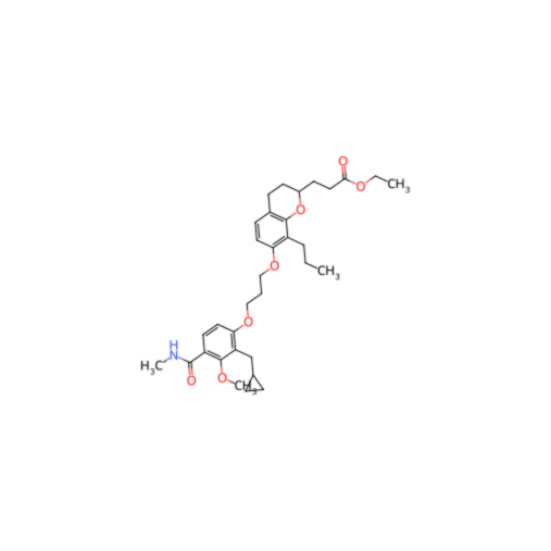 CCCc1c(OCCCOc2ccc(C(=O)NC)c(OC)c2CC2CC2)ccc2c1OC(CCC(=O)OCC)CC2